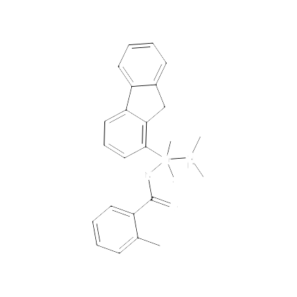 Cc1ccccc1C(=O)[NH][Ti]([Cl])([Cl])([c]1cccc2c1Cc1ccccc1-2)[SiH](C)C